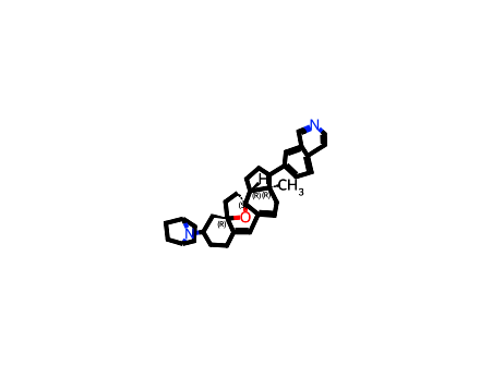 C[C@]12CC=C3C=C4CCC(N5C6CCC5CC6)C[C@]45CC[C@]3(O5)[C@@H]1CCC2c1ccc2ccncc2c1